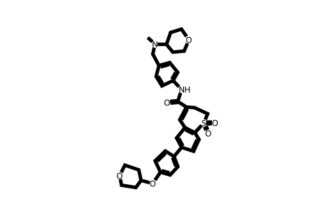 CN(Cc1ccc(NC(=O)C2=Cc3cc(-c4ccc(OC5CCOCC5)cc4)ccc3S(=O)(=O)CC2)cc1)C1CCOCC1